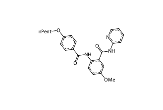 CCCCCOc1ccc(C(=O)Nc2ccc(OC)cc2C(=O)Nc2ccccn2)cc1